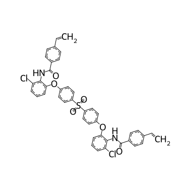 C=Cc1ccc(C(=O)Nc2c(Cl)cccc2Oc2ccc(S(=O)(=O)c3ccc(Oc4cccc(Cl)c4NC(=O)c4ccc(C=C)cc4)cc3)cc2)cc1